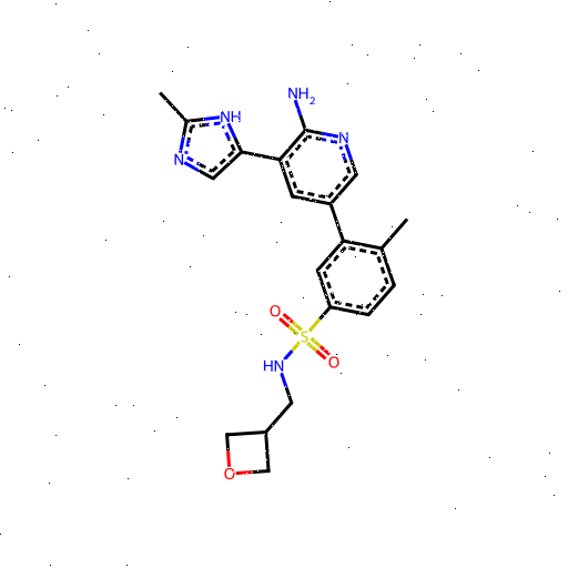 Cc1ncc(-c2cc(-c3cc(S(=O)(=O)NCC4COC4)ccc3C)cnc2N)[nH]1